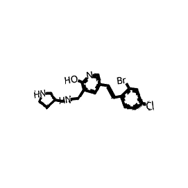 Oc1ncc(/C=C/c2ccc(Cl)cc2Br)cc1CNCC1CCNC1